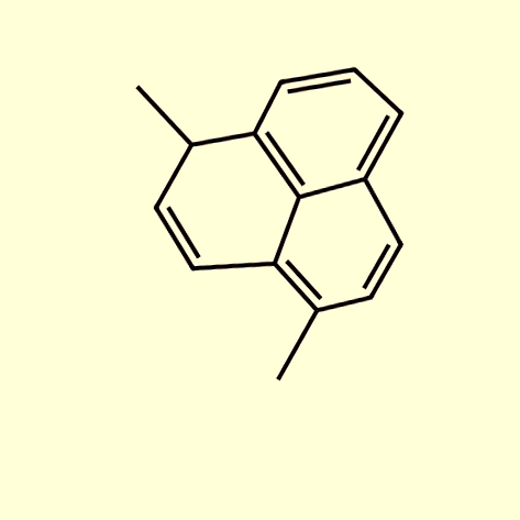 Cc1ccc2cccc3c2c1C=CC3C